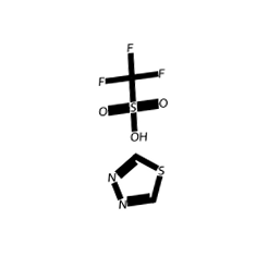 O=S(=O)(O)C(F)(F)F.c1nncs1